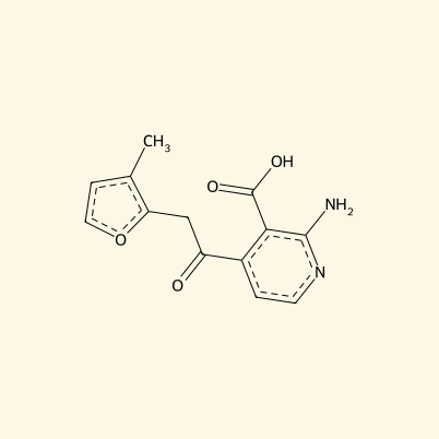 Cc1ccoc1CC(=O)c1ccnc(N)c1C(=O)O